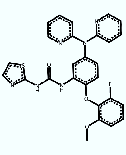 COc1cccc(F)c1Oc1ccc(N(c2ccccn2)c2ccccn2)cc1NC(=O)Nc1nccs1